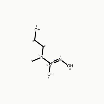 CN(CCO)/[N+](O)=N/O